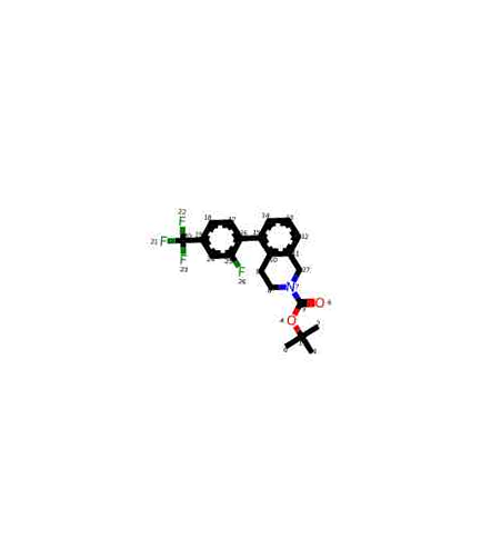 CC(C)(C)OC(=O)N1CCc2c(cccc2-c2ccc(C(F)(F)F)cc2F)C1